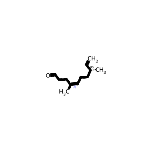 C=C[C@H](C)CC/C=C(/C)CCC=O